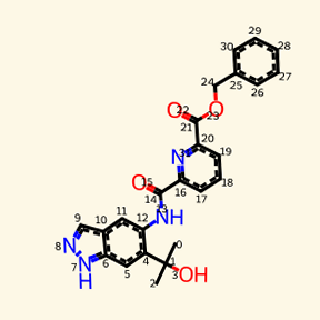 CC(C)(O)c1cc2[nH]ncc2cc1NC(=O)c1cccc(C(=O)OCc2ccccc2)n1